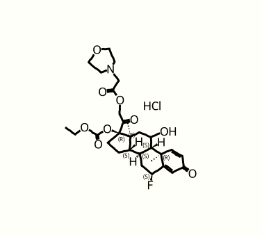 CCOC(=O)O[C@]1(C(=O)COC(=O)CN2CCOCC2)CC[C@H]2[C@@H]3C[C@H](F)C4=CC(=O)C=C[C@]4(C)[C@H]3C(O)C[C@@]21C.Cl